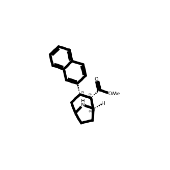 COC(=O)[C@H]1[C@@H](c2ccc3ccccc3c2)CC2CC[C@H]1N2